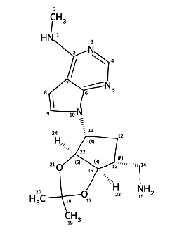 CNc1ncnc2c1ccn2[C@@H]1C[C@H](CN)[C@H]2OC(C)(C)O[C@H]21